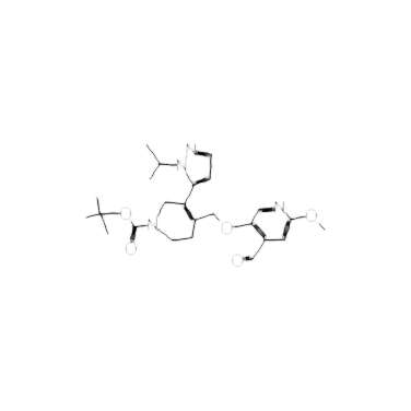 COc1cc(C=O)c(OCC2=C(c3ccnn3C(C)C)CN(C(=O)OC(C)(C)C)CC2)cn1